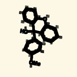 COc1ccc(C2(O)c3ccccc3Oc3ccccc32)cc1